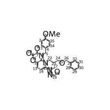 COc1ccc(CN2C(=O)C(=O)OC3=CC=C(N4COC=N4)N(CCCOCc4ccccc4)C32)cc1